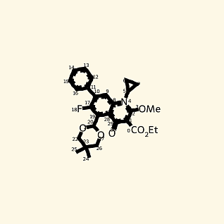 CCOC(=O)c1c(OC)n(C2CC2)c2cc(-c3ccccc3)c(F)c(C3OCC(C)(C)CO3)c2c1=O